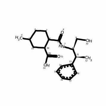 CC1CCC(C(=O)N[C@@H](CO)[C@@H](C)c2ccccc2)C(C(=O)O)C1